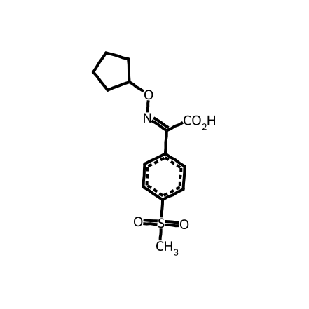 CS(=O)(=O)c1ccc(C(=NOC2CCCC2)C(=O)O)cc1